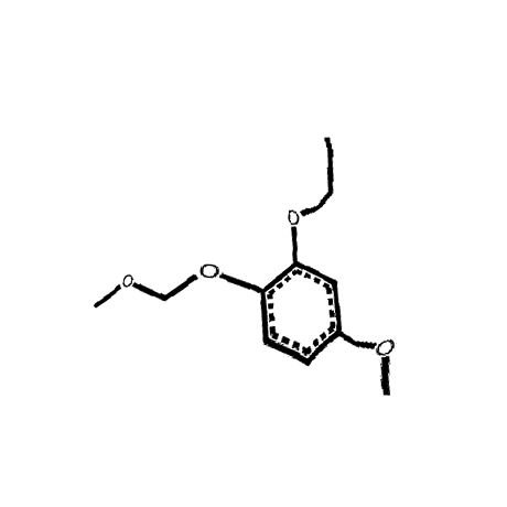 CCOc1cc(OC)ccc1OCOC